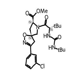 COC(=O)[C@@H]1C[C@]2(CC(c3cccc(Cl)c3)=NO2)CN1C(=O)[C@@H](NC(=O)NC(C)(C)C)C(C)(C)C